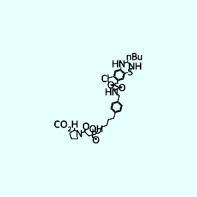 CCCCC1NSc2cc(S(=O)(=O)NCc3ccc(CCCCCP(=O)(O)CC(=O)N4CCC[C@H]4C(=O)O)cc3)c(Cl)cc2N1